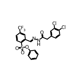 O=C(Cc1ccc(Cl)c(Cl)c1)NN=Cc1cc(C(F)(F)F)ccc1S(=O)(=O)Oc1ccccc1